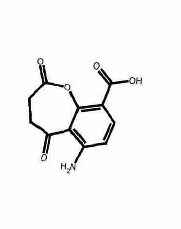 Nc1ccc(C(=O)O)c2c1C(=O)CCC(=O)O2